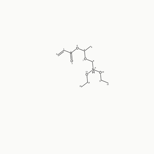 C=CC(=O)OC(C)OC[SiH](OCC)OCC